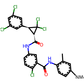 CNc1ccc(NC(=O)c2cc(NC(=O)[C@@H]3[C@@H](c4cc(Cl)cc(Cl)c4)C3(Cl)Cl)ccc2Cl)c(C)c1